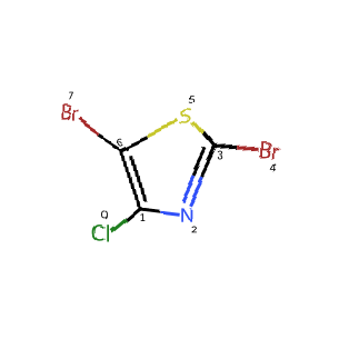 Clc1nc(Br)sc1Br